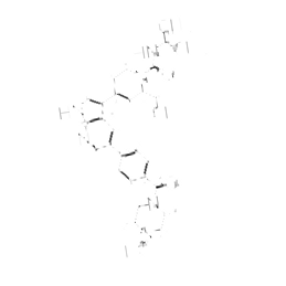 CCC1C=C(c2c[nH]c3ncc(-c4ccc(C(=O)N5CCN(C)CC5)cc4)cc23)CCN1C(=O)NC(C)C